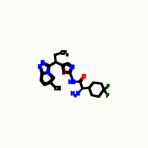 N#Cc1ccc2nnc(C(CC(F)(F)F)c3cnc(NC(=O)[C@@H](N)C4CCC(F)(F)CC4)s3)n2c1